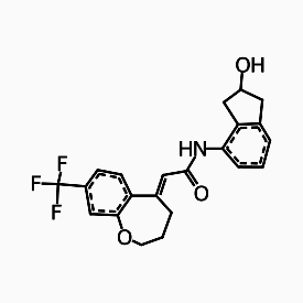 O=C(/C=C1\CCCOc2cc(C(F)(F)F)ccc21)Nc1cccc2c1CC(O)C2